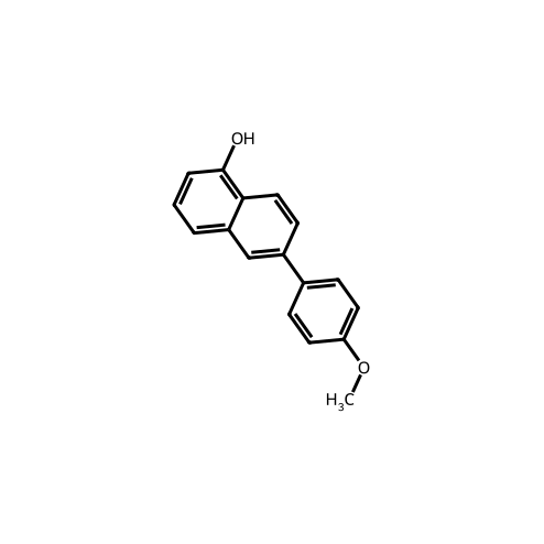 COc1ccc(-c2ccc3c(O)cccc3c2)cc1